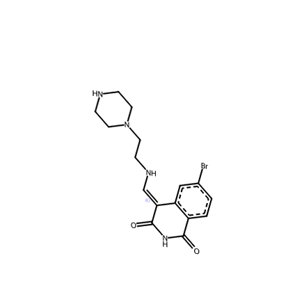 O=C1NC(=O)c2ccc(Br)cc2/C1=C\NCCN1CCNCC1